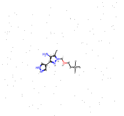 Cc1c(N)c(-c2cn[nH]c2)nn1COCC[Si](C)(C)C